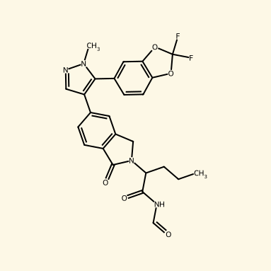 CCCC(C(=O)NC=O)N1Cc2cc(-c3cnn(C)c3-c3ccc4c(c3)OC(F)(F)O4)ccc2C1=O